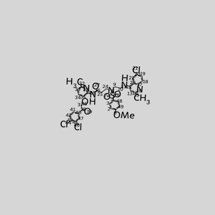 COc1ccc(S(=O)(=O)N(CCNc2cc(C)nc3ccc(Cl)cc23)CCC(=O)Nc2nc(C)ccc2OCC(=O)c2ccc(Cl)c(Cl)c2)cc1